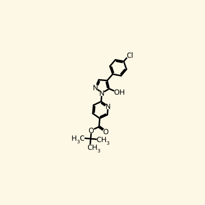 CC(C)(C)OC(=O)c1ccc(-n2ncc(-c3ccc(Cl)cc3)c2O)nc1